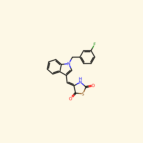 O=C1NC(=Cc2cn(Cc3cccc(F)c3)c3ccccc23)C(=O)S1